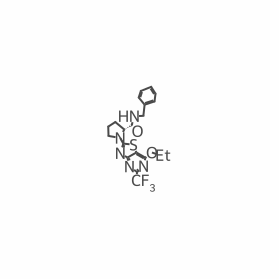 CCOc1nc(C(F)(F)F)nc2nc(N3CCC[C@@H]3C(=O)NCc3ccccc3)sc12